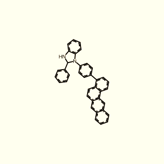 c1ccc(C2Nc3ccccc3N2c2ccc(-c3cccc4c3ccc3cc5ccccc5cc34)cc2)cc1